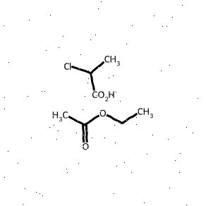 CC(Cl)C(=O)O.CCOC(C)=O